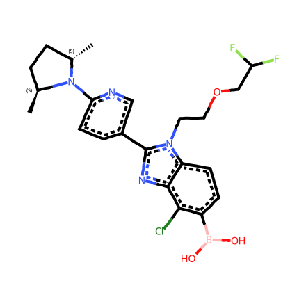 C[C@H]1CC[C@H](C)N1c1ccc(-c2nc3c(Cl)c(B(O)O)ccc3n2CCOCC(F)F)cn1